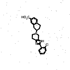 O=C(O)c1ccc2c(c1)CC(N1CCc3nc(-c4ccccc4Cl)[nH]c3C1)CC2